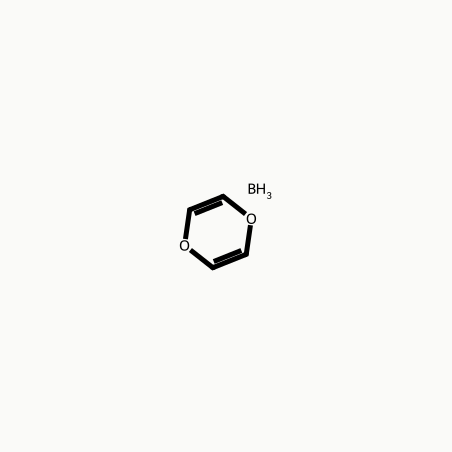 B.C1=COC=CO1